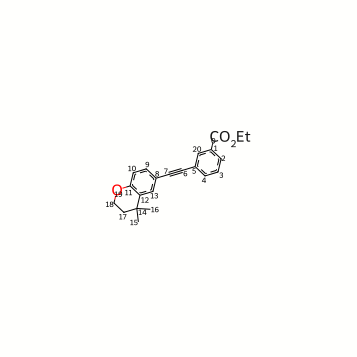 CCOC(=O)c1cccc(C#Cc2ccc3c(c2)C(C)(C)CCO3)c1